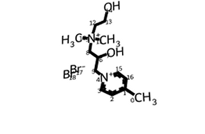 Cc1cc[n+](CC(O)C[N+](C)(C)CCO)cc1.[Br-].[Br-]